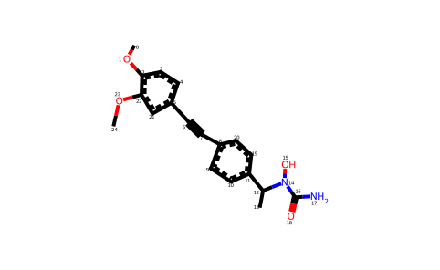 COc1ccc(C#Cc2ccc(C(C)N(O)C(N)=O)cc2)cc1OC